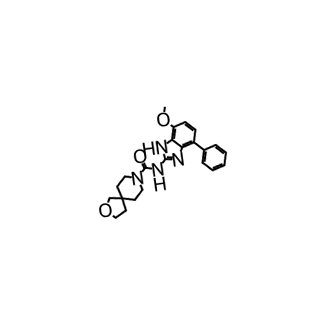 COc1ccc(-c2ccccc2)c2nc(NC(=O)N3CCC4(CCOC4)CC3)[nH]c12